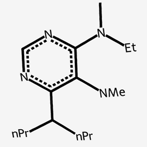 CCCC(CCC)c1ncnc(N(C)CC)c1NC